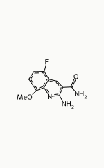 COc1ccc(F)c2cc(C(N)=O)c(N)nc12